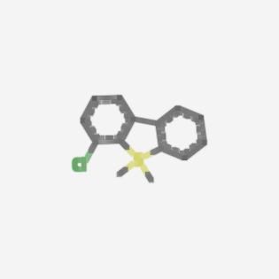 CS1(C)c2ccccc2-c2cccc(Cl)c21